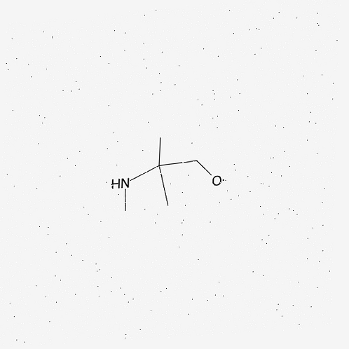 CNC(C)(C)C[O]